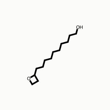 OCCCCCCCCCCC1CCO1